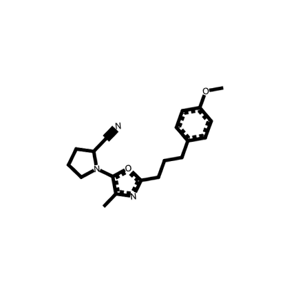 COc1ccc(CCCc2nc(C)c(N3CCCC3C#N)o2)cc1